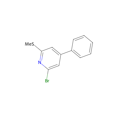 CSc1cc(-c2ccccc2)cc(Br)n1